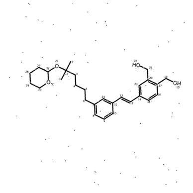 CC(C)(CCCCc1cccc(C=Cc2ccc(CO)c(CO)c2)c1)OC1CCCCO1